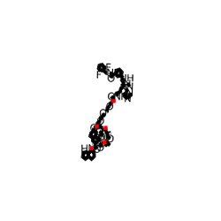 C[C@@H](C(=O)NC(C(=O)N1Cc2cc(OCCOCCOCCOCCC(=O)NCCCn3c(CNc4cccc(C(=O)NCc5c(F)cccc5F)c4)nnc3-c3ccncn3)ccc2C[C@H]1C(=O)N[C@@H]1CCCc2ccccc21)C(C)(C)C)N(C)C(=O)OC(C)(C)C